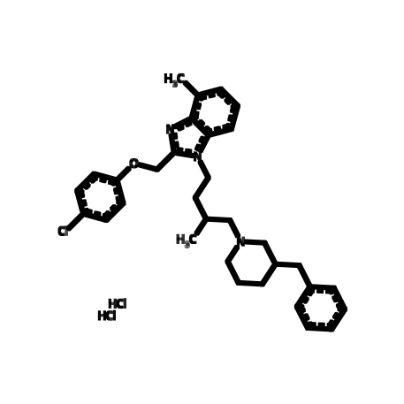 Cc1cccc2c1nc(COc1ccc(Cl)cc1)n2CCC(C)CN1CCCC(Cc2ccccc2)C1.Cl.Cl